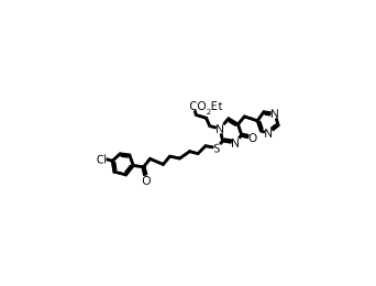 CCOC(=O)CCCn1cc(Cc2cncnc2)c(=O)nc1SCCCCCCCC(=O)c1ccc(Cl)cc1